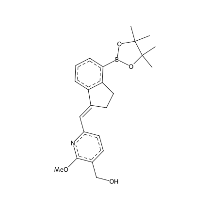 COc1nc(/C=C2\CCc3c(B4OC(C)(C)C(C)(C)O4)cccc32)ccc1CO